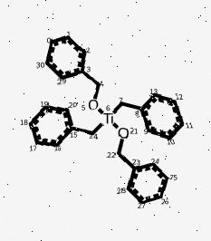 c1ccc(C[O][Ti]([CH2]c2ccccc2)([CH2]c2ccccc2)[O]Cc2ccccc2)cc1